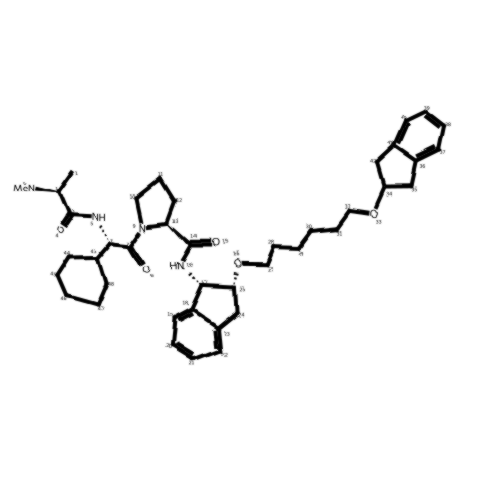 CN[C@@H](C)C(=O)N[C@H](C(=O)N1CCC[C@H]1C(=O)N[C@H]1c2ccccc2C[C@H]1OCCCCCCOC1Cc2ccccc2C1)C1CCCCC1